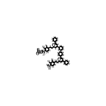 Cc1c(/C=C/c2cc(-c3ccccc3)cc(-c3ccccc3)[o+]2)ccc(N(C)C)c1C.Cc1c(/C=C/c2cc(-c3ccccc3)cc(-c3ccccc3)[o+]2)ccc(N(C)C)c1C.[O-]B([O-])F